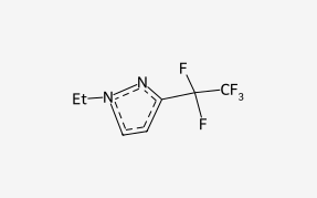 CCn1ccc(C(F)(F)C(F)(F)F)n1